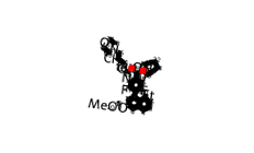 CCc1cccc2cc(OCOC)cc(-c3c(F)cc4c(N5CC6CCC(C5)N6C(=O)OC(C)(C)C)nc(OCCCN5CCOC[C@H]5C)nc4c3F)c12